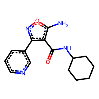 Nc1onc(-c2cccnc2)c1C(=O)NC1CCCCC1